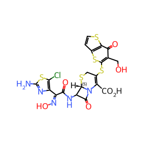 Nc1nc(C(=NO)C(=O)NC2C(=O)N3C(C(=O)O)=C(Sc4sc5ccsc5c(=O)c4CO)CS[C@@H]23)c(Cl)s1